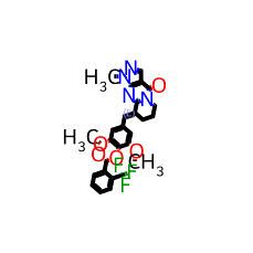 COc1cc(/C=C2\CCCn3c2nc2c(cnn2C)c3=O)cc(OC)c1OC(=O)c1ccccc1C(F)(F)F